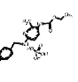 CCOC(=O)Nc1ccc(NCc2ccc(F)cc2)nc1N.O=P(O)(O)O